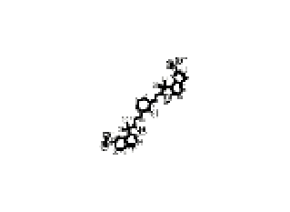 CN1/C(=C\C=C2/CCCC(/C=C/C3=[N+](C)c4ccc5ccc([N+](=O)[O-])cc5c4C3(C)C)=C2Cl)C(C)(C)c2c1ccc1ccc([N+](=O)[O-])cc21